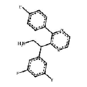 NCC(c1cc(F)cc(F)c1)c1nccnc1-c1ccc(Cl)cc1